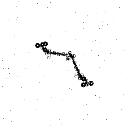 CC(C)(C(=O)NCCOCCOCCOCCNS(=O)(=O)c1ccc(O[C@H]2c3ccccc3C[C@@H]2N2CCCCC2)cc1)C(=O)NCCOCCOCCOCCNS(=O)(=O)c1ccc(O[C@H]2c3ccccc3C[C@@H]2N2CCCCC2)cc1